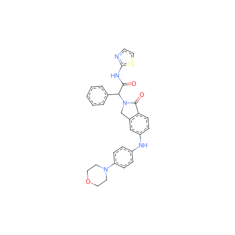 O=C(Nc1nccs1)C(c1ccccc1)N1Cc2cc(Nc3ccc(N4CCOCC4)cc3)ccc2C1=O